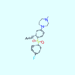 CNc1cc(N2CCCN(C)CC2)ccc1S(=O)(=O)c1ccc(F)cc1